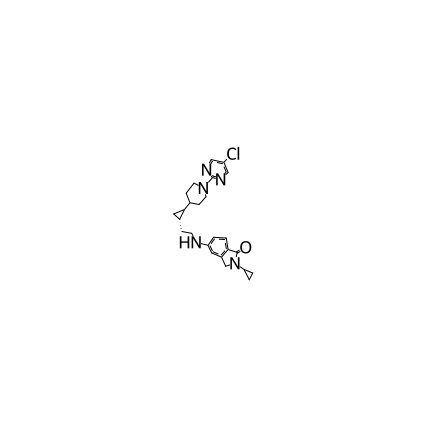 O=C1c2ccc(NCC[C@@H]3CC3C3CCN(c4ncc(Cl)cn4)CC3)cc2CN1C1CC1